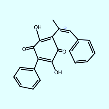 C/C(=C/c1ccccc1)C1=C(O)C(=O)C(c2ccccc2)=C(O)C1=O